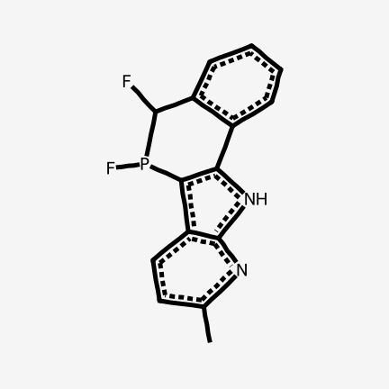 Cc1ccc2c3c([nH]c2n1)-c1ccccc1C(F)P3F